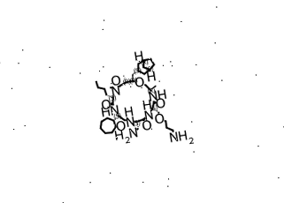 CCCC[C@H]1C(=O)N[C@@H](C2CCCCCC2)C(=O)N[C@@H](CN)C(=O)N[C@@H](COCCCN)C(=O)N[C@H](C)CO[C@H](C[C@@H]2C[C@@H]3CC[C@@H](C3)C2)[C@@H](C)C(=O)N1C